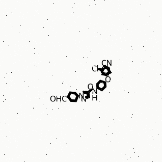 N#Cc1ccc(O[C@H]2CC[C@H](NC(=O)c3cnn([C@H]4CC[C@H](C=O)CC4)c3)CC2)cc1Cl